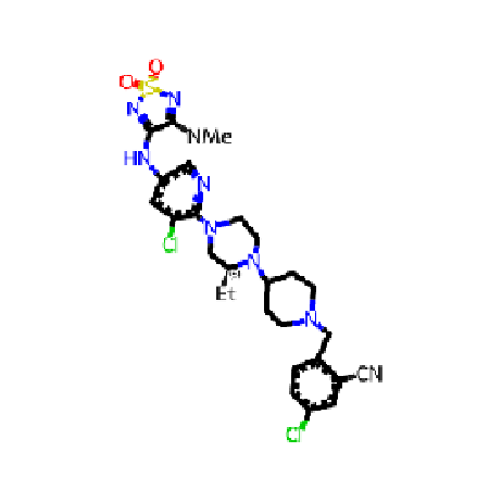 CC[C@H]1CN(c2ncc(NC3=NS(=O)(=O)N=C3NC)cc2Cl)CCN1C1CCN(Cc2ccc(Cl)cc2C#N)CC1